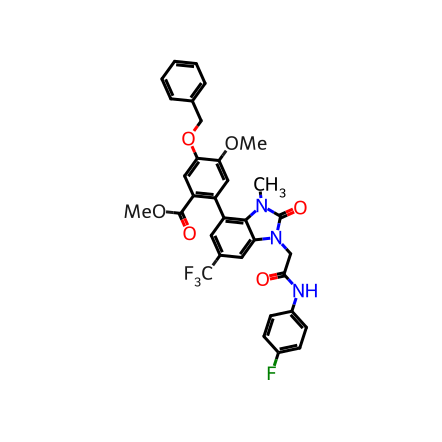 COC(=O)c1cc(OCc2ccccc2)c(OC)cc1-c1cc(C(F)(F)F)cc2c1n(C)c(=O)n2CC(=O)Nc1ccc(F)cc1